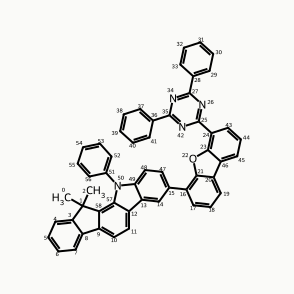 CC1(C)c2ccccc2-c2ccc3c4cc(-c5cccc6c5oc5c(-c7nc(-c8ccccc8)nc(-c8ccccc8)n7)cccc56)ccc4n(-c4ccccc4)c3c21